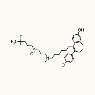 CN(CCCCCCC1=C(c2ccc(O)cc2)CCCc2cc(O)ccc21)CCC[S+]([O-])CCCC(F)(F)C(F)(F)F